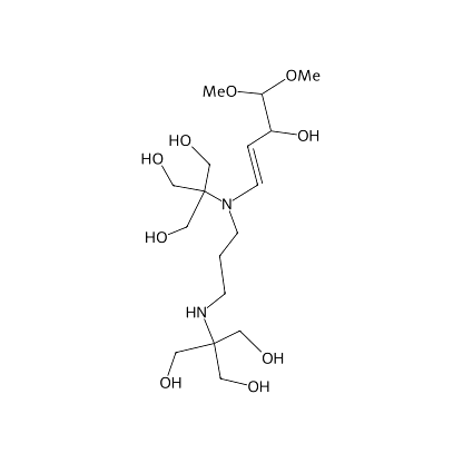 COC(OC)C(O)C=CN(CCCNC(CO)(CO)CO)C(CO)(CO)CO